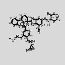 COCc1cc(C(=O)NC2(c3nc4cc(CN[C@@H]5CCOC[C@@H]5F)cc(C#N)c4o3)C=CC=C(c3ccccc3C)C2Cl)ncc1CN[C@@H]1C[C@H]1F